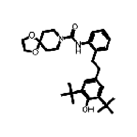 CC(C)(C)c1cc(CCc2ccccc2NC(=O)N2CCC3(CC2)OCCO3)cc(C(C)(C)C)c1O